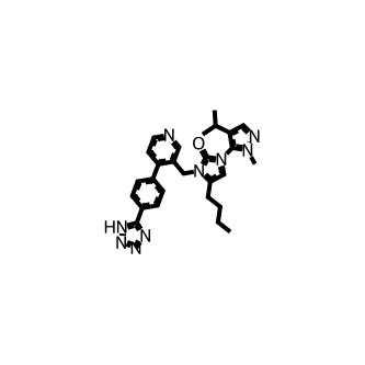 CCCCc1cn(-c2c(C(C)C)cnn2C)c(=O)n1Cc1cnccc1-c1ccc(-c2nnn[nH]2)cc1